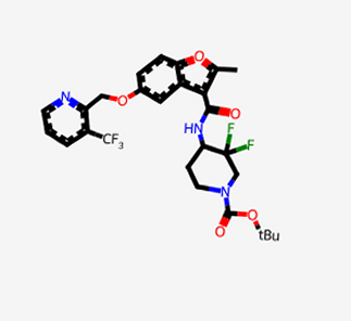 Cc1oc2ccc(OCc3ncccc3C(F)(F)F)cc2c1C(=O)NC1CCN(C(=O)OC(C)(C)C)CC1(F)F